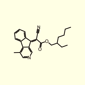 CCCCC(CC)COC(=O)/C(C#N)=C1/c2ccccc2-c2c(C)cncc21